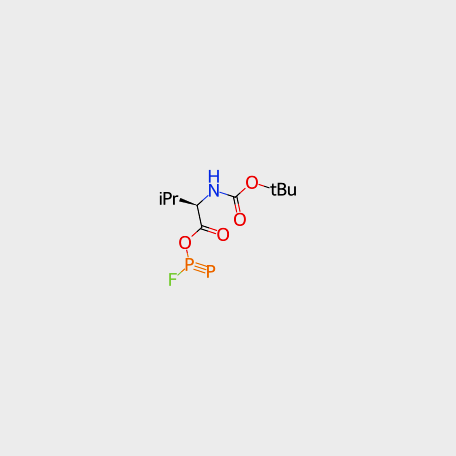 CC(C)[C@@H](NC(=O)OC(C)(C)C)C(=O)OP(F)#P